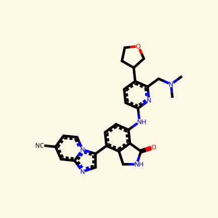 CN(C)Cc1nc(Nc2ccc(-c3cnc4cc(C#N)ccn34)c3c2C(=O)NC3)ccc1C1CCOC1